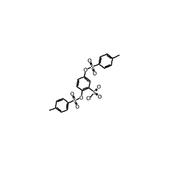 Cc1ccc(S(=O)(=O)Oc2ccc(OS(=O)(=O)c3ccc(C)cc3)c(S(=O)(=O)Cl)c2)cc1